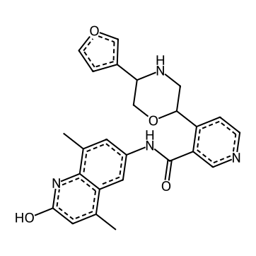 Cc1cc(O)nc2c(C)cc(NC(=O)c3cnccc3C3CNC(c4ccoc4)CO3)cc12